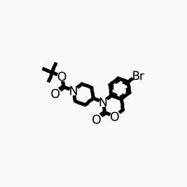 CC(C)(C)OC(=O)N1CCC(N2C(=O)OCc3cc(Br)ccc32)CC1